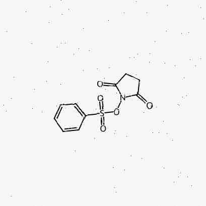 O=C1CCC(=O)N1OS(=O)(=O)c1ccccc1